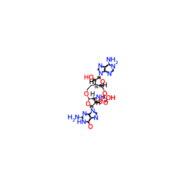 Nc1nc2c(ncn2[C@@H]2OC3OCC[C@H]4[C@@H](O)[C@H](n5cnc6c(N)ncnc65)O[C@@H]4COP(=O)(O)O[C@@H]2[C@@H]3N)c(=O)[nH]1